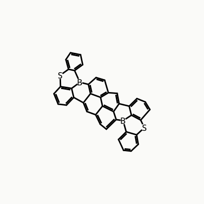 c1ccc2c(c1)Sc1cccc3c1B2c1ccc2cc4c5c(ccc6cc-3c1c2c65)B1c2ccccc2Sc2cccc-4c21